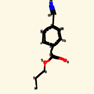 CCCOC(=O)c1ccc(C#N)cc1